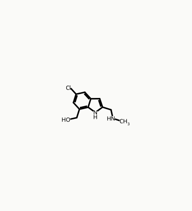 CNCc1cc2cc(Cl)cc(CO)c2[nH]1